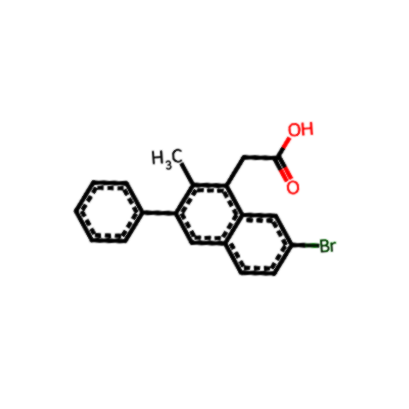 Cc1c(-c2ccccc2)cc2ccc(Br)cc2c1CC(=O)O